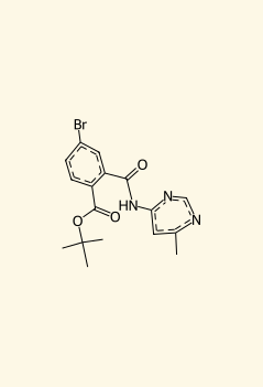 Cc1cc(NC(=O)c2cc(Br)ccc2C(=O)OC(C)(C)C)ncn1